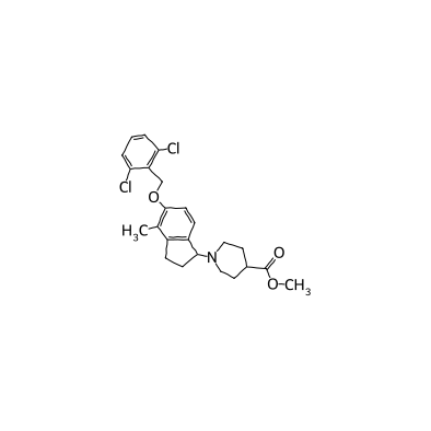 COC(=O)C1CCN(C2CCc3c2ccc(OCc2c(Cl)cccc2Cl)c3C)CC1